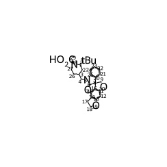 CC(C)(C)C1CC(CN2C(=O)C3(COc4cc5c(cc43)CCO5)c3ccccc32)CCN1C(=O)O